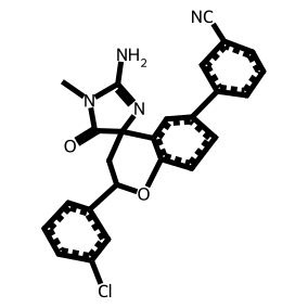 CN1C(=O)C2(CC(c3cccc(Cl)c3)Oc3ccc(-c4cccc(C#N)c4)cc32)N=C1N